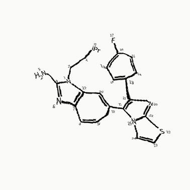 CC(C)CCn1c(N)nc2ccc(-c3c(-c4ccc(F)cc4)nc4sccn34)cc21